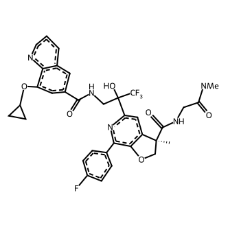 CNC(=O)CNC(=O)[C@@]1(C)COc2c1cc(C(O)(CNC(=O)c1cc(OC3CC3)c3ncccc3c1)C(F)(F)F)nc2-c1ccc(F)cc1